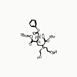 CC(C)(C)OC(=O)C(C[C@H](NC(=O)Oc1ccccc1)C(=O)OC(C)(C)C)N(CCO)CCO